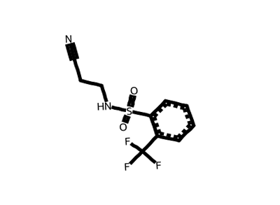 N#CCCNS(=O)(=O)c1ccccc1C(F)(F)F